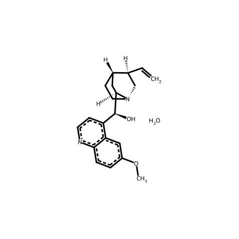 C=C[C@H]1C[N@]2CC[C@H]1C[C@@H]2[C@@H](O)c1ccnc2ccc(OC)cc12.O